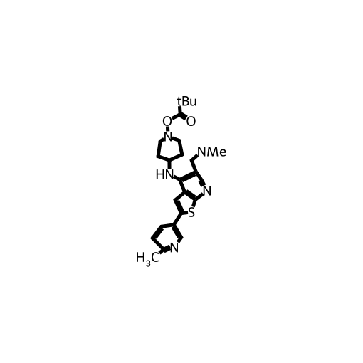 CNCc1cnc2sc(-c3ccc(C)nc3)cc2c1NC1CCN(OC(=O)C(C)(C)C)CC1